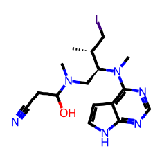 C[C@H](CI)[C@H](CN(C)C(O)CC#N)N(C)c1ncnc2[nH]ccc12